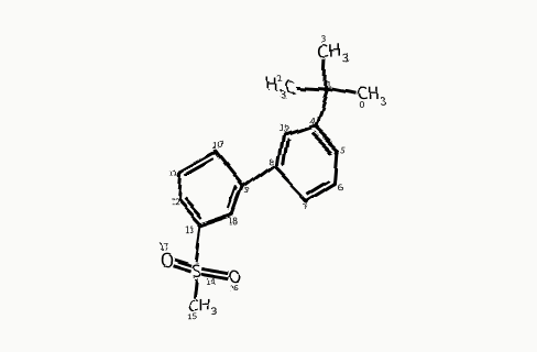 CC(C)(C)c1cccc(-c2cccc(S(C)(=O)=O)c2)c1